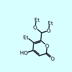 CCOC(OCC)c1oc(=O)cc(O)c1CC